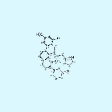 Cc1cc(F)cc(-c2cnc3ccc(N4CCCC(O)C4)nc3c2C(=O)N(C)C[C@@H]2CCCN2)c1